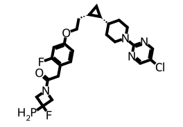 O=C(Cc1ccc(OCC[C@@H]2C[C@@H]2C2CCN(c3ncc(Cl)cn3)CC2)cc1F)N1CC(F)(P)C1